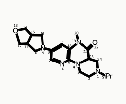 CC(C)N1CCN2c3ncc(N4CC5COCC5C4)cc3N(C)C(=O)C2C1